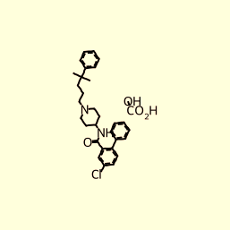 CC(C)(CCCN1CCC(NC(=O)c2cc(Cl)ccc2-c2ccccc2)CC1)c1ccccc1.O=C(O)O